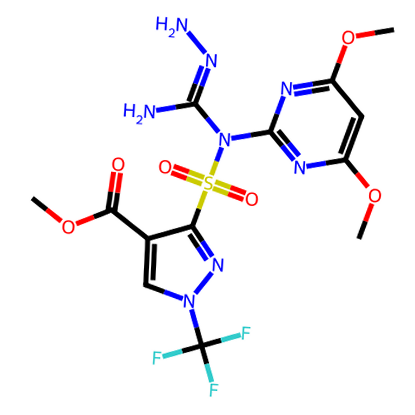 COC(=O)c1cn(C(F)(F)F)nc1S(=O)(=O)N(C(N)=NN)c1nc(OC)cc(OC)n1